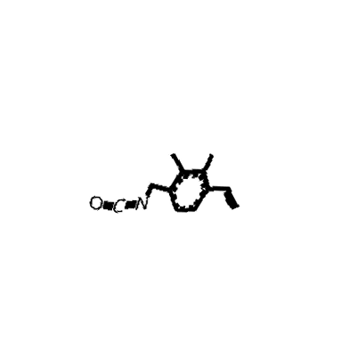 C=Cc1ccc(CN=C=O)c(C)c1C